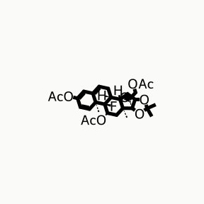 CC(=O)OCC(=O)[C@@]12OC(C)(C)OC1C[C@H]1[C@@H]3CC=C4C=C(OC(C)=O)C=C[C@]4(C)[C@@]3(F)[C@@H](OC(C)=O)C[C@@]12C